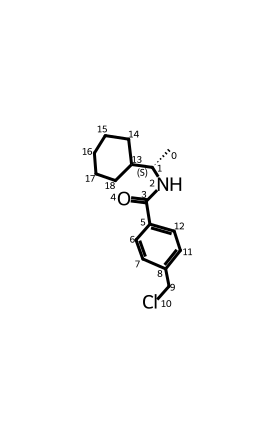 C[C@H](NC(=O)c1ccc(CCl)cc1)C1CCCCC1